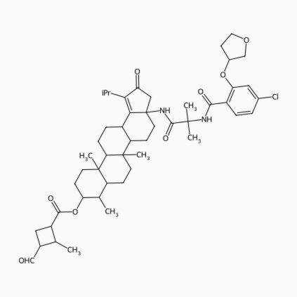 CC(C)C1=C2C3CCC4C(C)(CCC5C(C)C(OC(=O)C6CC(C=O)C6C)CCC54C)C3CCC2(NC(=O)C(C)(C)NC(=O)c2ccc(Cl)cc2OC2CCOC2)CC1=O